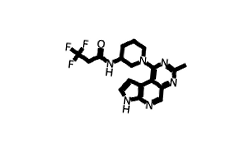 Cc1nc(N2CCCC(NC(=O)CC(F)(F)F)C2)c2c(cnc3[nH]ccc32)n1